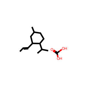 CC=CC1CC(C)CCC1C(C)C.O=C(O)O